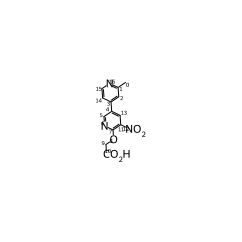 Cc1cc(-c2cnc(OCC(=O)O)c([N+](=O)[O-])c2)ccn1